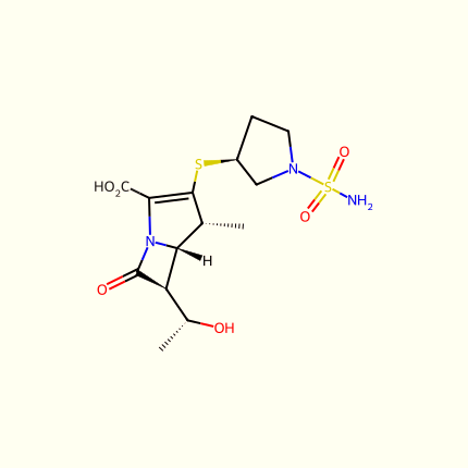 C[C@@H](O)[C@H]1C(=O)N2C(C(=O)O)=C(S[C@H]3CCN(S(N)(=O)=O)C3)[C@H](C)[C@H]12